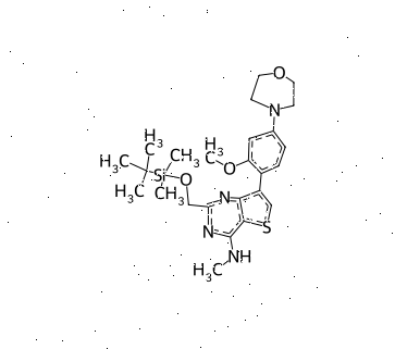 CNc1nc(CO[Si](C)(C)C(C)(C)C)nc2c(-c3ccc(N4CCOCC4)cc3OC)csc12